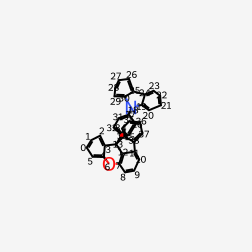 c1ccc2c(c1)Oc1cccc3c1C2(c1ccc(-n2c4ccccc4c4ccccc42)cc1)c1ccccc1-3